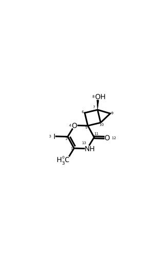 CC1=C(I)OC2(C[C@]3(O)CC23)C(=O)N1